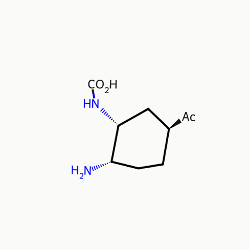 CC(=O)[C@H]1CC[C@H](N)[C@H](NC(=O)O)C1